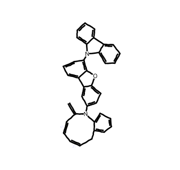 C=C1/C=C\C=C/Cc2ccccc2N1c1ccc2oc3c(-n4c5ccccc5c5ccccc54)cccc3c2c1